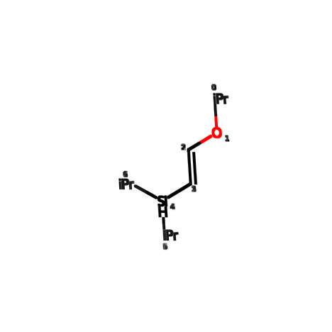 CC(C)OC=C[SiH](C(C)C)C(C)C